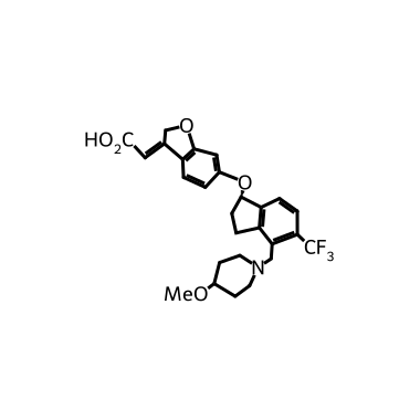 COC1CCN(Cc2c(C(F)(F)F)ccc3c2CC[C@H]3Oc2ccc3c(c2)OC/C3=C\C(=O)O)CC1